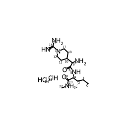 CC[C@H](C)[C@H](NC(=O)C(N)C1CCN(C(=N)N)CC1)C(=O)NC.Cl.Cl